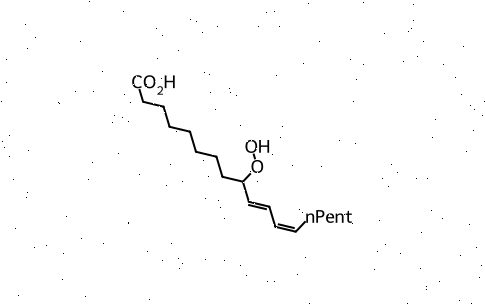 CCCCC/C=C\C=C\C(CCCCCCCC(=O)O)OO